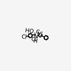 O=C(O)C1=C(NCc2ccc(Cl)cc2Cl)CC(c2ccccc2)S1